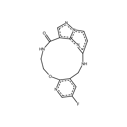 O=C1NCCOc2ncc(F)cc2CNc2ccn3ncc1c3n2